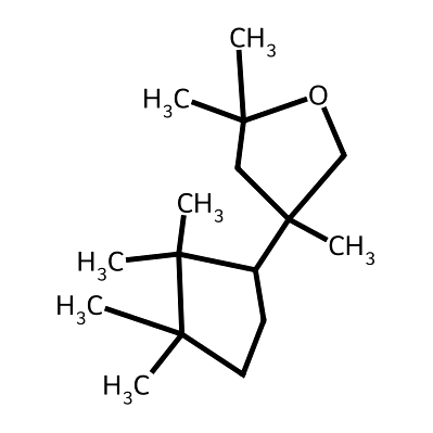 CC1(C)CC(C)(C2CCC(C)(C)C2(C)C)CO1